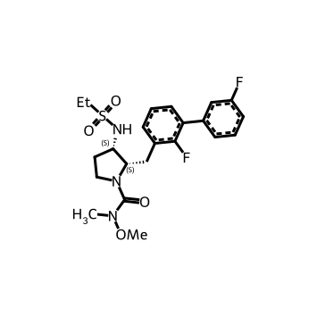 CCS(=O)(=O)N[C@H]1CCN(C(=O)N(C)OC)[C@H]1Cc1cccc(-c2cccc(F)c2)c1F